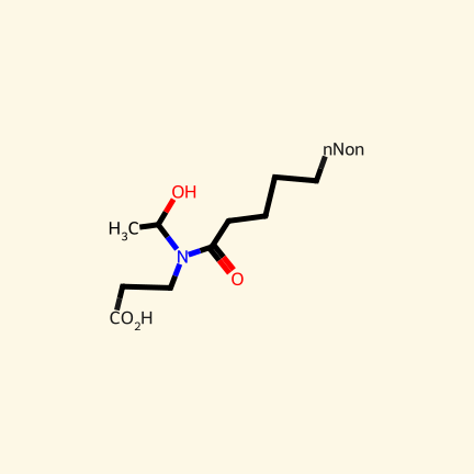 CCCCCCCCCCCCCC(=O)N(CCC(=O)O)C(C)O